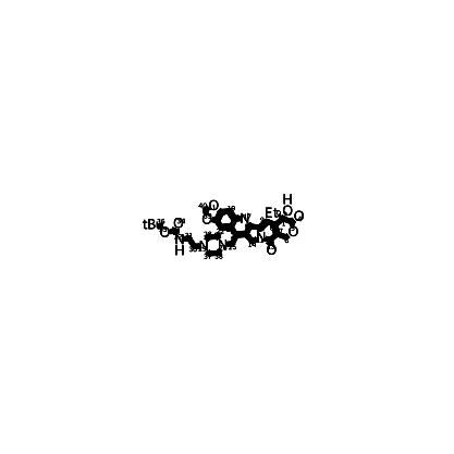 CC[C@@]1(O)C(=O)OCc2c1cc1n(c2=O)Cc2c-1nc1cc3c(cc1c2CN1CCN(CCNC(=O)OC(C)(C)C)CC1)OCO3